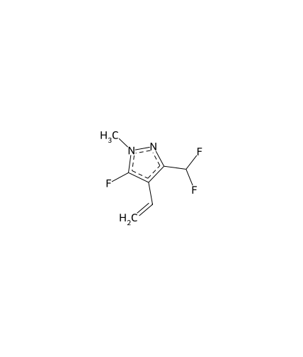 C=Cc1c(C(F)F)nn(C)c1F